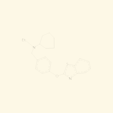 CCN(Cc1ccc(Oc2nc3ccccc3s2)cc1)C1CCCCC1